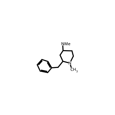 CNC1CCN(C)C(Cc2ccccc2)C1